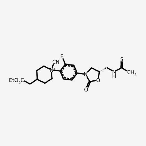 CCOC(=O)CC1CC[N+](C#N)(c2ccc(N3C[C@H](CNC(C)=S)OC3=O)cc2F)CC1